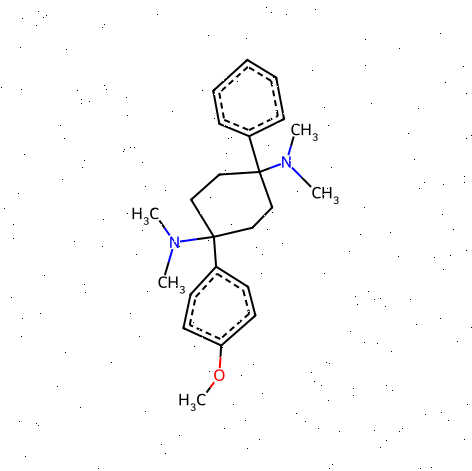 COc1ccc(C2(N(C)C)CCC(c3ccccc3)(N(C)C)CC2)cc1